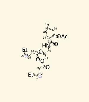 CC/C=C\CC(=O)OCC(CNC(=O)c1ccc(C)cc1OC(C)=O)OC(=O)C/C=C\CC